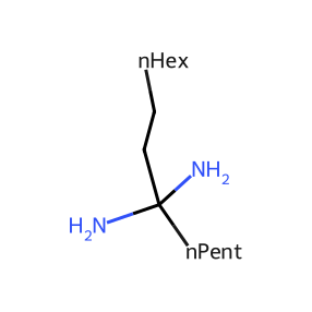 CCCCCCCCC(N)(N)CCCCC